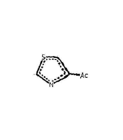 CC(=O)c1[c]s[c]n1